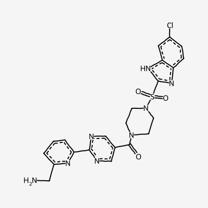 NCc1cccc(-c2ncc(C(=O)N3CCN(S(=O)(=O)c4nc5ccc(Cl)cc5[nH]4)CC3)cn2)n1